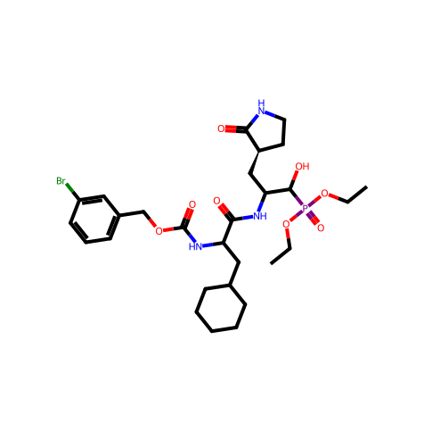 CCOP(=O)(OCC)C(O)C(C[C@@H]1CCNC1=O)NC(=O)C(CC1CCCCC1)NC(=O)OCc1cccc(Br)c1